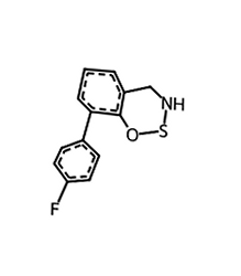 Fc1ccc(-c2cccc3c2OSNC3)cc1